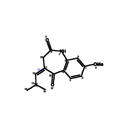 COc1ccc2c(c1)NC(=O)C/C(=C/N(C)C)C2=O